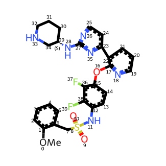 COc1ccccc1CS(=O)(=O)Nc1ccc(Oc2ncccc2-c2ccnc(N[C@H]3CCCNC3)n2)c(F)c1F